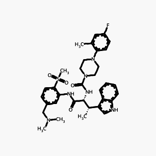 Cc1cc(F)ccc1N1CCN(C(=O)N[C@@H](C(=O)Nc2cc(CN(C)C)ccc2S(C)(=O)=O)[C@@H](C)c2c[nH]c3ccccc23)CC1